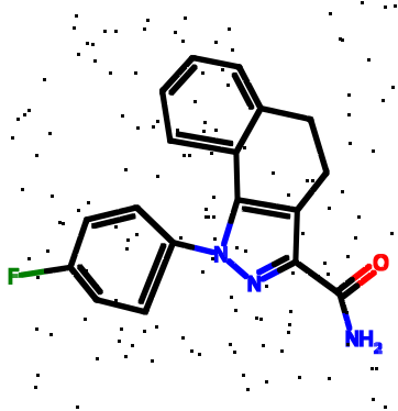 NC(=O)c1nn(-c2ccc(F)cc2)c2c1CCc1ccccc1-2